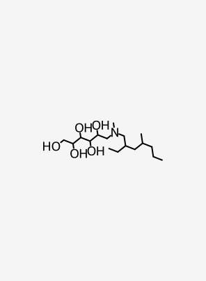 CCCC(C)CC(CC)CN(C)CC(O)C(O)C(O)C(O)CO